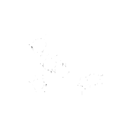 O=C(Cc1c[nH]c2ccccc12)Nc1cc(-c2cccnc2)nc(-c2ccccn2)n1